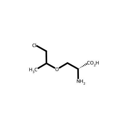 CC(CCl)OC[C@@H](N)C(=O)O